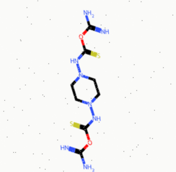 N=C(N)OC(=S)NN1CCN(NC(=S)OC(=N)N)CC1